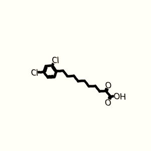 O=C(O)C(=O)CCCCCCCCc1ccc(Cl)cc1Cl